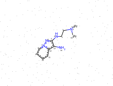 CC(C)N(CCNc1nn2ccccc2c1N)C(C)C